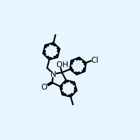 Cc1ccc(CN2C(=O)c3cc(C)ccc3C2(O)c2ccc(Cl)cc2)cc1